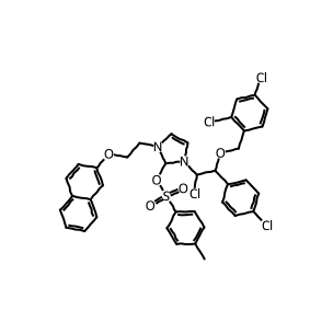 Cc1ccc(S(=O)(=O)OC2N(CCOc3ccc4ccccc4c3)C=CN2C(Cl)C(OCc2ccc(Cl)cc2Cl)c2ccc(Cl)cc2)cc1